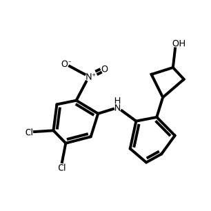 O=[N+]([O-])c1cc(Cl)c(Cl)cc1Nc1ccccc1C1CC(O)C1